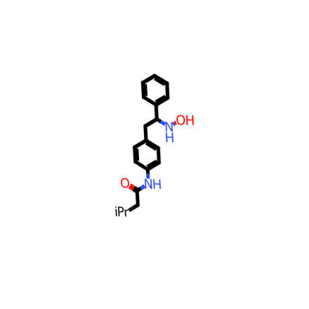 CC(C)CC(=O)Nc1ccc(CC(NO)c2ccccc2)cc1